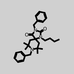 CCCCN1C(=O)N(Cc2ccccc2)C(=O)C12CC(C)(C)N(Cc1ccccc1)C(C)(C)C2